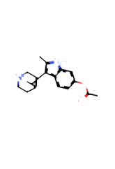 CC(=O)Oc1ccc2c(C3CN4CCC3CC4)c(C)[nH]c2c1